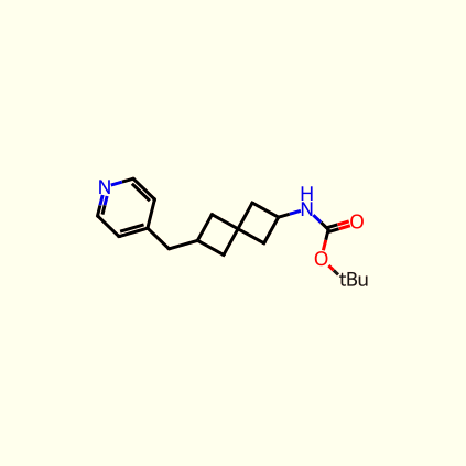 CC(C)(C)OC(=O)NC1CC2(CC(Cc3ccncc3)C2)C1